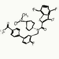 CN(Cl)[C@H]1CC[C@H](N(Cc2cc(-c3ccc(C(=O)C(F)(F)F)cc3)ccc2F)C(=O)c2sc3c(F)ccc(F)c3c2Cl)CC1